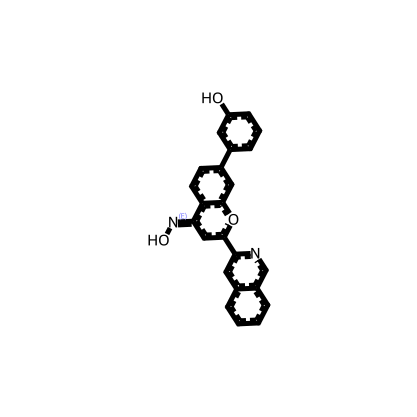 O/N=c1\cc(-c2cc3ccccc3cn2)oc2cc(-c3cccc(O)c3)ccc12